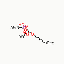 CCCCCCCCCCCCCCCCOCC(COP(=O)(O)CCNC)OC(=O)CCC